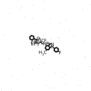 CCN(CC(O)(CNc1cc(C)cc2c1cnn2-c1ccc(F)cc1)C(F)(F)F)C(=O)c1ccccc1C